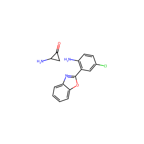 NC1CC1=O.Nc1ccc(Cl)cc1-c1nc2ccccc2o1